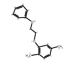 Cc1ccc(C)c(OCCOc2ccccc2)c1